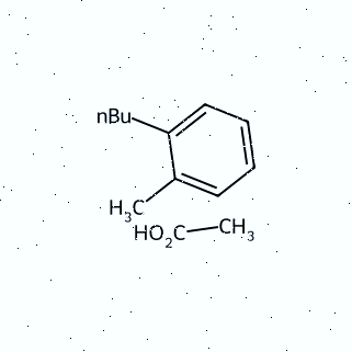 CC(=O)O.CCCCc1ccccc1C